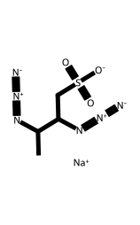 CC(N=[N+]=[N-])C(CS(=O)(=O)[O-])N=[N+]=[N-].[Na+]